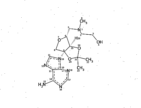 CN(CCO)C[C@H]1OC[C@]2(n3cnc4c(N)ncnc43)OC(C)(C)O[C@H]12